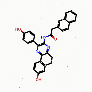 O=C(Cc1ccc2ccccc2c1)Nc1nc2c(nc1-c1ccc(O)cc1)-c1ccc(O)cc1CC2